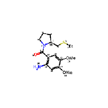 CCSC[C@@H]1CCCN1C(=O)c1cc(OC)c(OC)cc1N